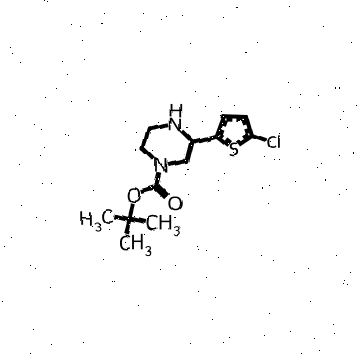 CC(C)(C)OC(=O)N1CCNC(c2ccc(Cl)s2)C1